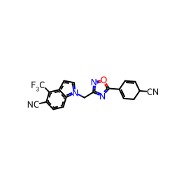 N#Cc1ccc2c(ccn2Cc2noc(C3=CCC(C#N)C=C3)n2)c1C(F)(F)F